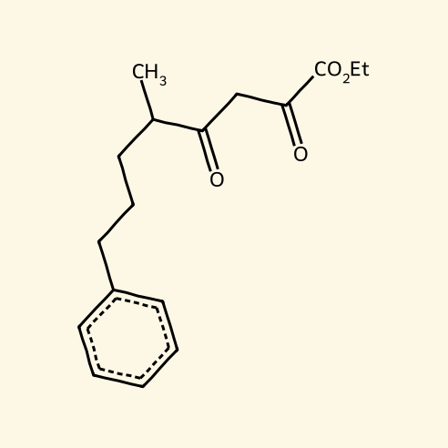 CCOC(=O)C(=O)CC(=O)C(C)CCCc1ccccc1